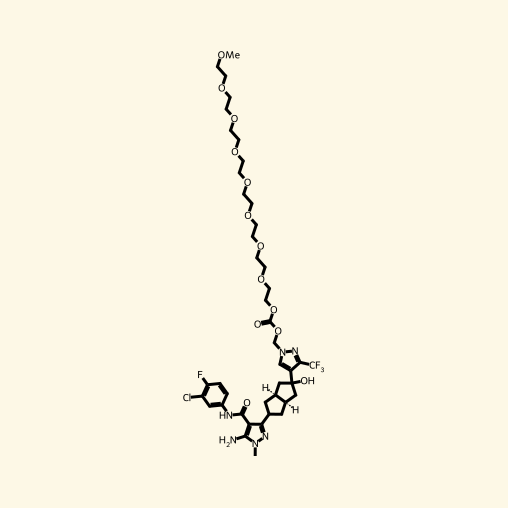 COCCOCCOCCOCCOCCOCCOCCOCCOC(=O)OCn1cc(C2(O)C[C@H]3CC(c4nn(C)c(N)c4C(=O)Nc4ccc(F)c(Cl)c4)C[C@H]3C2)c(C(F)(F)F)n1